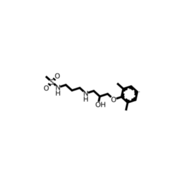 Cc1c[c]cc(C)c1OCC(O)CNCCCNS(C)(=O)=O